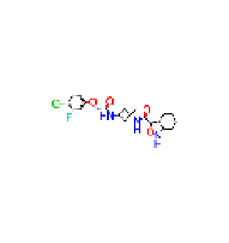 CC1(NC(=O)C2ONC3CCCCC32)CC(NC(=O)COc2ccc(Cl)c(F)c2)C1